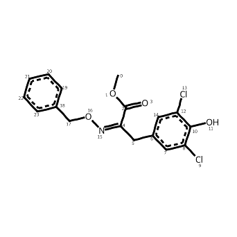 COC(=O)/C(Cc1cc(Cl)c(O)c(Cl)c1)=N\OCc1ccccc1